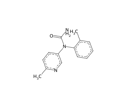 Cc1ccc(N(C(N)=O)c2ccccc2C)cn1